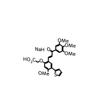 COc1cc(OCC(=O)O)c(/C=C/C(=O)c2cc(OC)c(OC)c(OC)c2)cc1-c1cccs1.[NaH]